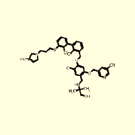 CC(C)(CO)NCc1cc(Cl)c(OCc2cccc(-c3cccc(OCCCN4CC[C@@H](O)C4)c3Cl)c2Cl)cc1OCc1cncc(C#N)c1